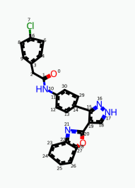 O=C(Cc1ccc(Cl)cc1)Nc1ccc(-c2n[nH]cc2-c2nc3ccccc3o2)cc1